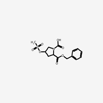 CS(=O)(=O)OC1CC(C(=O)OCc2ccccc2)N(C(=O)O)C1